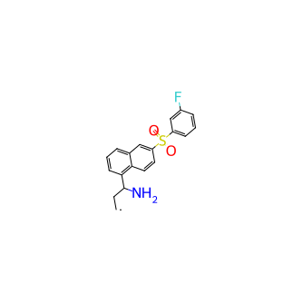 [CH2]CC(N)c1cccc2cc(S(=O)(=O)c3cccc(F)c3)ccc12